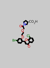 O=C(O)[C@H]1CCN(C(=O)COCCOc2cc(Br)ccc2-c2cc(=O)c3cccc(Cl)c3o2)C1